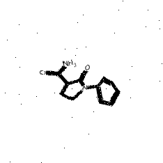 NC(=O)C1CCN(c2ccccc2)C1=O